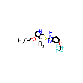 C=CCOc1ccnc(CSc2nc3cc(OC(F)(F)C(F)F)ccc3[nH]2)c1C